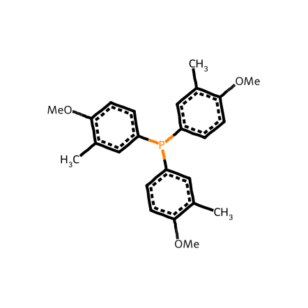 COc1ccc(P(c2ccc(OC)c(C)c2)c2ccc(OC)c(C)c2)cc1C